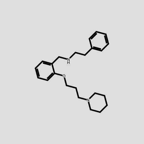 c1ccc(CCNCc2ccccc2OCCCN2CCCCC2)cc1